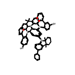 CC(C)(C)c1ccc(N2c3cc(N4c5ccc(-c6ccccc6)cc5C5(C)CCCCC45C)cc4c3B3c5c2cccc5C(C)(C)c2cccc(c23)N4c2ccc(C(C)(C)C)cc2-c2ccc[nH]2)c(-c2ccccn2)c1